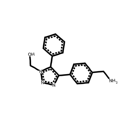 NCc1ccc(-c2nnn(CO)c2-c2ccccc2)cc1